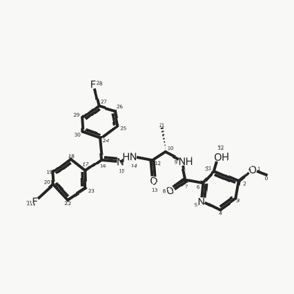 COc1ccnc(C(=O)N[C@@H](C)C(=O)NN=C(c2ccc(F)cc2)c2ccc(F)cc2)c1O